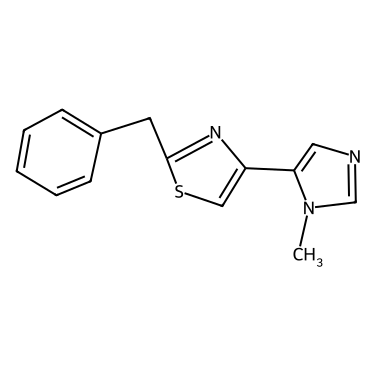 Cn1cncc1-c1csc(Cc2ccccc2)n1